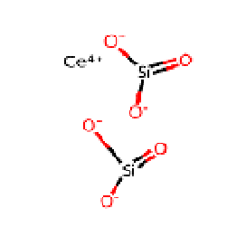 O=[Si]([O-])[O-].O=[Si]([O-])[O-].[Ce+4]